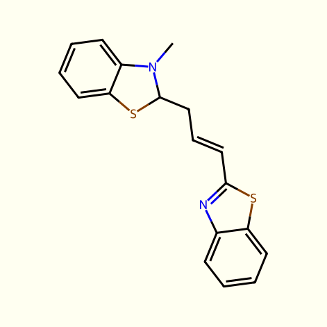 CN1c2ccccc2SC1CC=Cc1nc2ccccc2s1